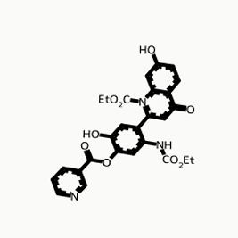 CCOC(=O)Nc1cc(OC(=O)c2cccnc2)c(O)cc1-c1cc(=O)c2ccc(O)cc2n1C(=O)OCC